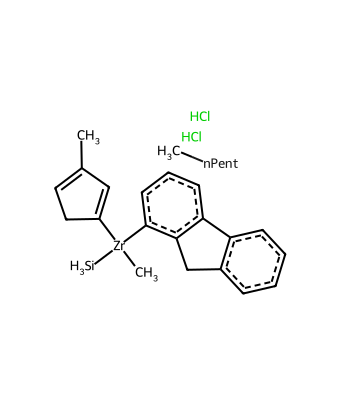 CC1=CC[C]([Zr]([CH3])([SiH3])[c]2cccc3c2Cc2ccccc2-3)=C1.CCCCCC.Cl.Cl